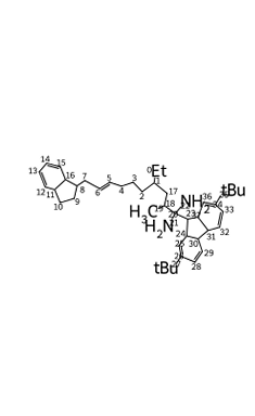 CCC(CCC/C=C/CC1CCC2C=CC=CC21)CC(C)C(N)(N)C1C2C=C(C(C)(C)C)C=CC2C2C=CC(C(C)(C)C)=CC21